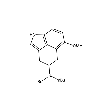 CCCCN(CCCC)C1Cc2c[nH]c3ccc(OC)c(c23)C1